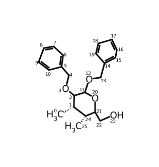 C[C@@H]1C(OCc2ccccc2)C(OCc2ccccc2)OC(CO)[C@@H]1C